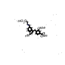 CCCn1cc(Cc2ccc(C(=O)OC)cc2OC)c2cc(/C=C/CC(=O)O)ccc21